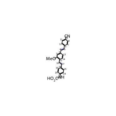 COc1cc(/C=C/c2ccc(C#N)cc2)ccc1/C=C/c1ccc(NC(=O)O)cc1